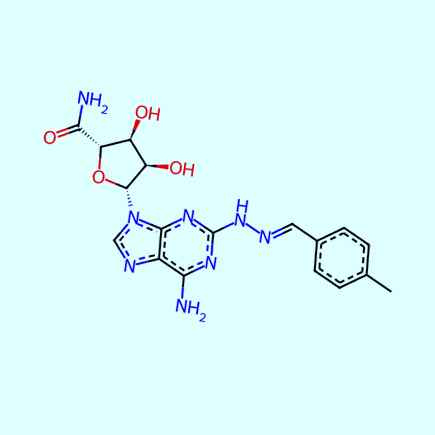 Cc1ccc(/C=N/Nc2nc(N)c3ncn([C@@H]4O[C@H](C(N)=O)[C@@H](O)[C@H]4O)c3n2)cc1